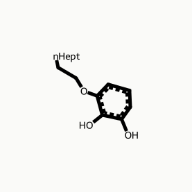 CCCCCCCCCOc1cccc(O)c1O